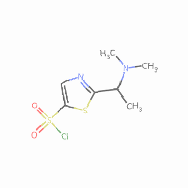 CC(c1ncc(S(=O)(=O)Cl)s1)N(C)C